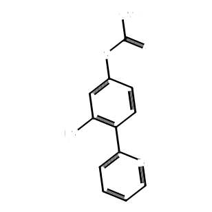 COC(=O)Nc1ccc(-c2ccccn2)c(N)c1